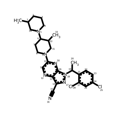 CC1CCCN(C2CCN(c3cnc4c(C#N)nn(C(C)c5ccc(Cl)cc5Cl)c4n3)CC2C)C1